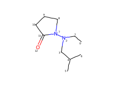 CCN(CC(C)C)N1CCCC1=O